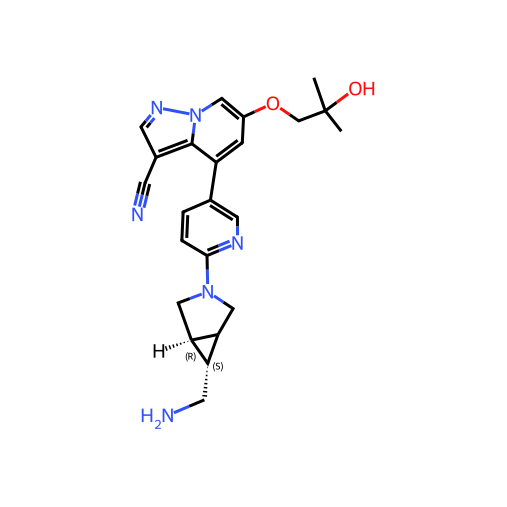 CC(C)(O)COc1cc(-c2ccc(N3CC4[C@H](CN)[C@H]4C3)nc2)c2c(C#N)cnn2c1